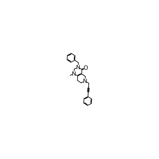 CN1CN(Cc2ccccc2)C(=O)C2=C1CCN(CC#Cc1ccccc1)C2